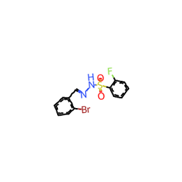 O=S(=O)(N/N=C/c1ccccc1Br)c1ccccc1F